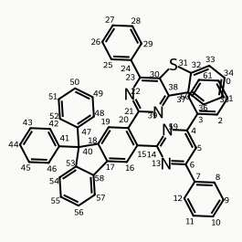 c1ccc(-c2cc(-c3ccccc3)nc(-c3cc4c(cc3-c3nc(-c5ccccc5)c5sc6ccccc6c5n3)C(c3ccccc3)(c3ccccc3)c3ccccc3-4)n2)cc1